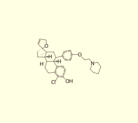 C[C@]12CC(c3ccc(OCCN4CCCCC4)cc3)[C@@H]3c4ccc(O)c(Cl)c4CC[C@H]3[C@@H]1CC[C@@]21C=CCO1